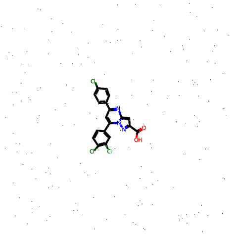 O=C(O)c1cc2nc(-c3ccc(Cl)cc3)cc(-c3ccc(Cl)c(Cl)c3)n2n1